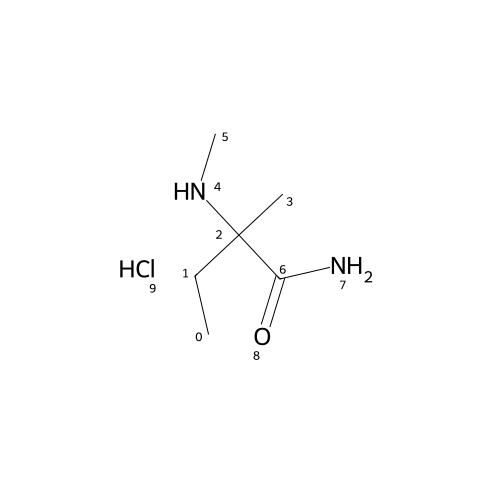 CCC(C)(NC)C(N)=O.Cl